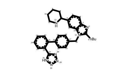 CCCCc1nc2ccc(C3CCCCN3)cc2n1Cc1ccc(-c2ccccc2-c2nnn[nH]2)cc1